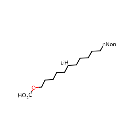 CCCCCCCCCCCCCCCCCCCCOC(=O)O.[LiH]